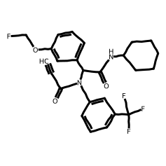 C#CC(=O)N(c1cccc(C(F)(F)F)c1)C(C(=O)NC1CCCCC1)c1cccc(OCF)c1